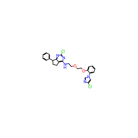 Clc1cn(-c2ccccc2OCCOCCNc2nc(Cl)nc3c2CCC3c2ccccc2)cn1